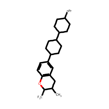 CCCC1CCC(C2CCC(c3ccc4c(c3)CC(C)C(C(F)(F)F)O4)CC2)CC1